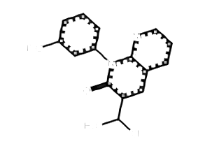 CC(Cl)c1cc2cccnc2n(-c2cccc(C(F)(F)F)c2)c1=O